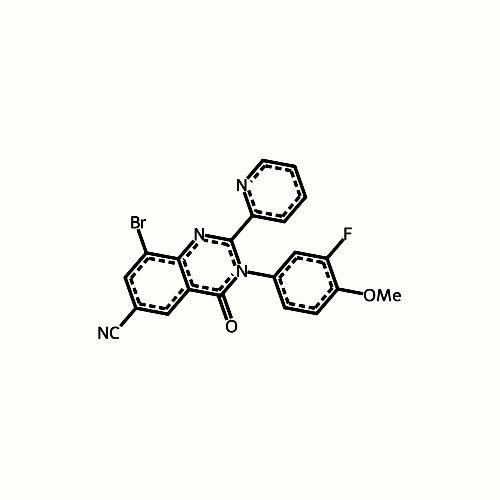 COc1ccc(-n2c(-c3ccccn3)nc3c(Br)cc(C#N)cc3c2=O)cc1F